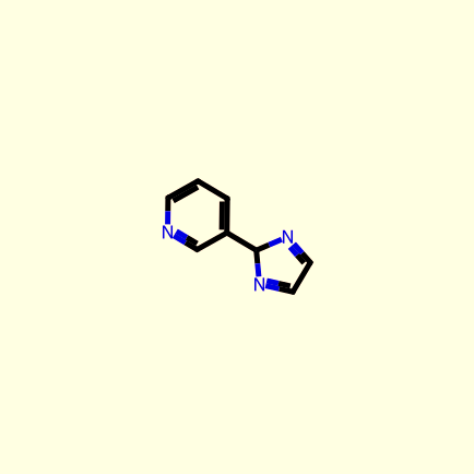 C1=NC(c2cccnc2)N=C1